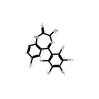 [2H]c1c([2H])c([2H])c(C2=NC(O)C(=O)Nc3ccc(Cl)cc32)c(Cl)c1[2H]